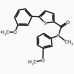 COc1cccc(-c2ccc(C(=O)N(C)c3cccc(OC)c3)s2)c1